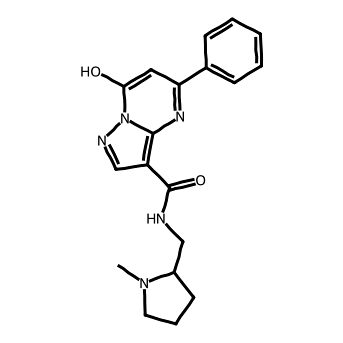 CN1CCCC1CNC(=O)c1cnn2c(O)cc(-c3ccccc3)nc12